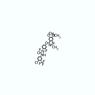 COc1cc2nc(C)nc(Oc3ccc(C(F)(F)C(=O)Nc4ccc(Cl)c(C(F)(F)F)c4)c(F)c3)c2cc1OC